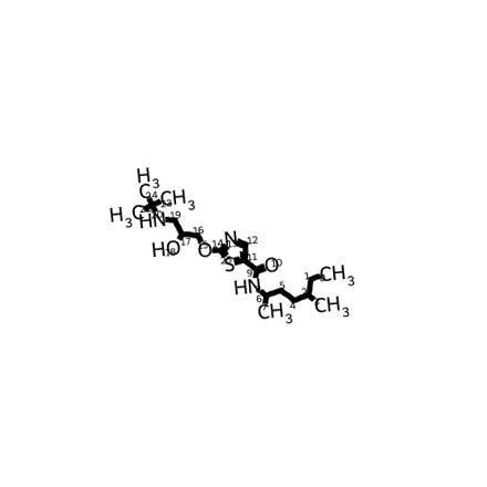 CCC(C)CCC(C)NC(=O)c1cnc(OCC(O)CNC(C)(C)C)s1